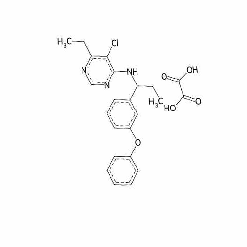 CCc1ncnc(NC(CC)c2cccc(Oc3ccccc3)c2)c1Cl.O=C(O)C(=O)O